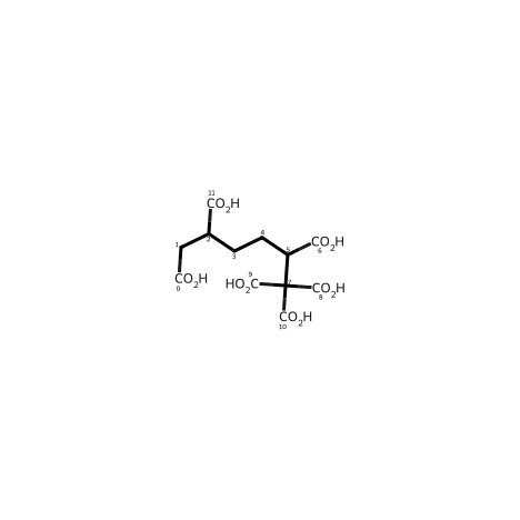 O=C(O)CC(CCC(C(=O)O)C(C(=O)O)(C(=O)O)C(=O)O)C(=O)O